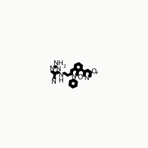 COc1cncc(-c2cccc3cc(CCNc4nc(N)ncc4C#N)n(-c4ccccc4)c(=O)c23)c1